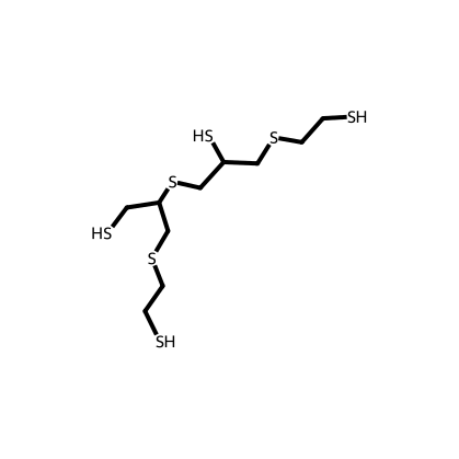 SCCSCC(S)CSC(CS)CSCCS